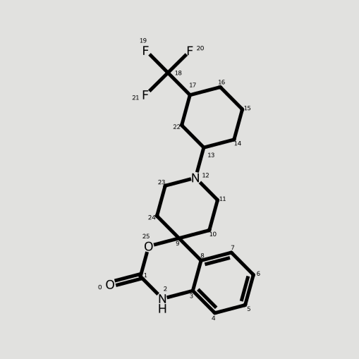 O=C1Nc2ccccc2C2(CCN(C3CCCC(C(F)(F)F)C3)CC2)O1